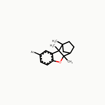 CC(=O)c1ccc2c(c1)C1(C)C3(C)CCC(C3)C1(C)O2